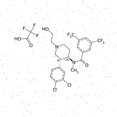 CN(C(=O)c1cc(C(F)(F)F)cc(C(F)(F)F)c1)[C@@H]1CCN(CCO)C[C@H]1c1ccc(Cl)c(Cl)c1.O=C(O)C(F)(F)F